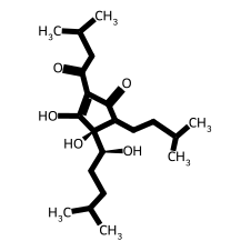 CC(C)CCC1C(=O)C(C(=O)CC(C)C)=C(O)[C@@]1(O)[C@@H](O)CCC(C)C